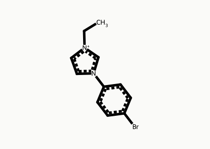 CC[n+]1ccn(-c2ccc(Br)cc2)c1